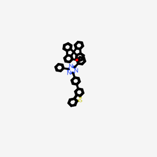 c1ccc(-c2nc(-c3ccc(-c4ccc5sc6ccccc6c5c4)cc3)nc(-c3ccccc3-c3cccc4c3C3(c5ccccc5-c5ccccc53)c3ccccc3-4)n2)cc1